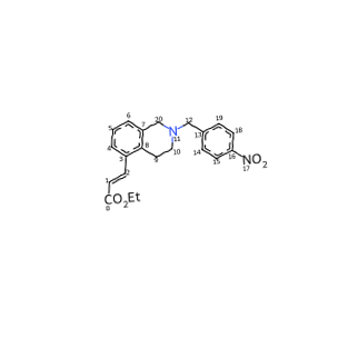 CCOC(=O)/C=C/c1cccc2c1CCN(Cc1ccc([N+](=O)[O-])cc1)C2